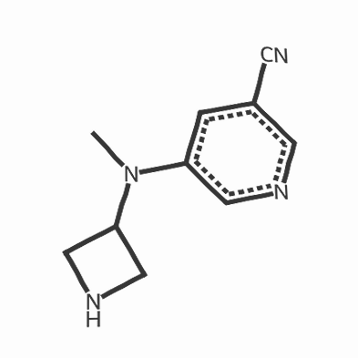 CN(c1cncc(C#N)c1)C1CNC1